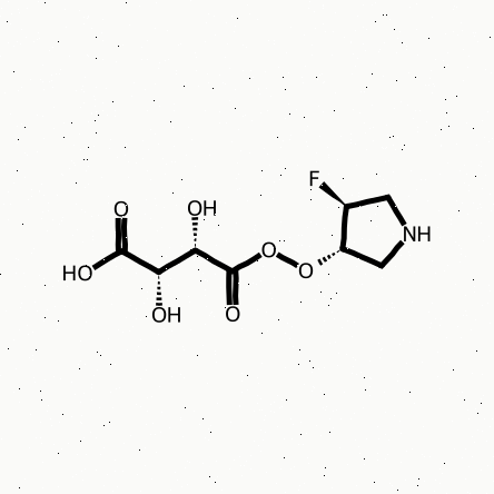 O=C(O)[C@@H](O)[C@H](O)C(=O)OO[C@H]1CNC[C@@H]1F